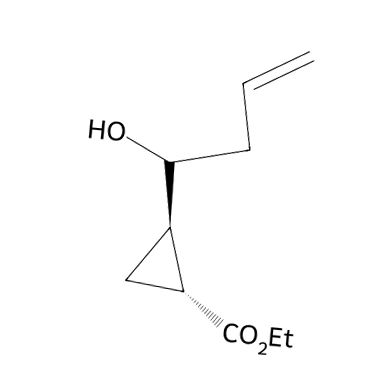 C=CCC(O)[C@@H]1C[C@H]1C(=O)OCC